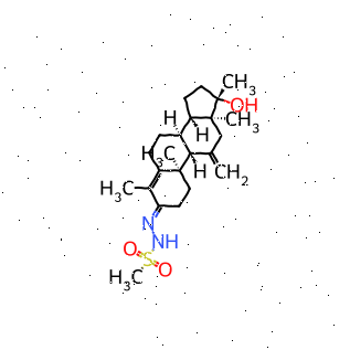 C=C1C[C@@]2(C)[C@@H](CC[C@]2(C)O)[C@@H]2CCC3=C(C)/C(=N/NS(C)(=O)=O)CC[C@]3(C)[C@@H]12